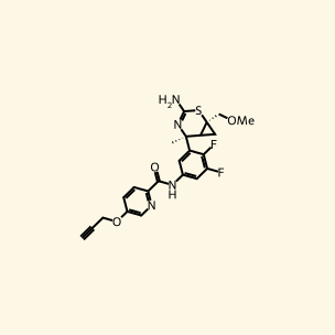 C#CCOc1ccc(C(=O)Nc2cc(F)c(F)c([C@@]3(C)N=C(N)S[C@@]4(COC)CC43)c2)nc1